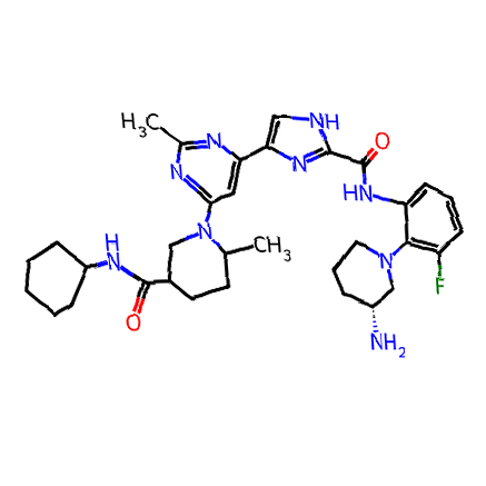 Cc1nc(-c2c[nH]c(C(=O)Nc3cccc(F)c3N3CCC[C@@H](N)C3)n2)cc(N2CC(C(=O)NC3CCCCC3)CCC2C)n1